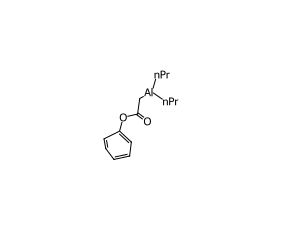 CC[CH2][Al]([CH2]CC)[CH2]C(=O)Oc1ccccc1